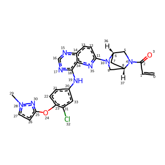 C=CC(=O)N1C[C@@H]2C[C@H]1CN2c1ccc2ncnc(Nc3ccc(Oc4ccn(C)n4)c(Cl)c3)c2n1